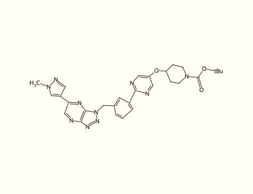 Cn1cc(-c2cnc3nnn(Cc4cccc(-c5ncc(OC6CCN(C(=O)OC(C)(C)C)CC6)cn5)c4)c3n2)cn1